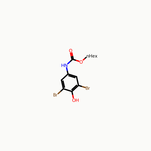 CCCCCCOC(=O)Nc1cc(Br)c(O)c(Br)c1